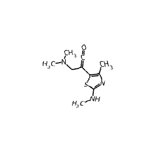 CNc1nc(C)c(C(=C=O)CN(C)C)s1